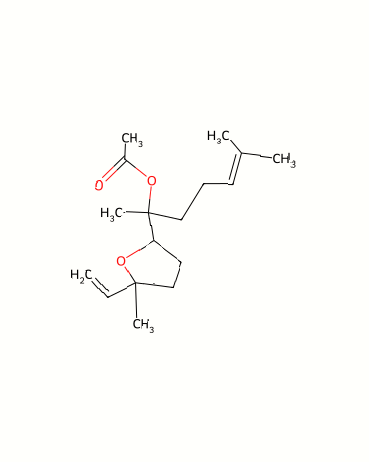 C=CC1(C)CCC(C(C)(CCC=C(C)C)OC(C)=O)O1